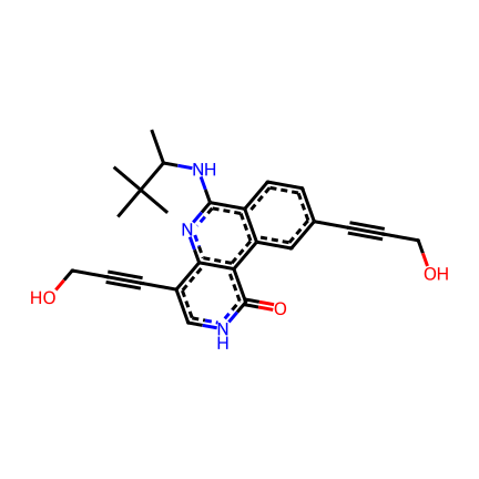 CC(Nc1nc2c(C#CCO)c[nH]c(=O)c2c2cc(C#CCO)ccc12)C(C)(C)C